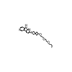 FCCOCCOCCOC1CC2(C1)CN(c1ccc3c(n1)[nH]c1ccncc13)C2